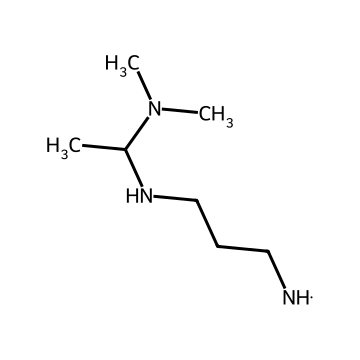 CC(NCCC[NH])N(C)C